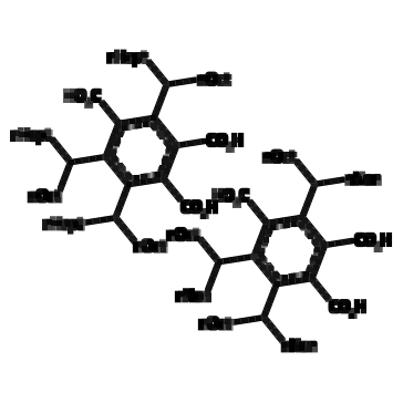 CCCCCCCCC(CCCCCCC)c1c(C(=O)O)c(C(=O)O)c(C(CCCCCCC)CCCCCCCC)c(C(CCCCCCC)CCCCCCCC)c1C(=O)O.CCCCCCCCCC(CCCCCCCC)c1c(C(=O)O)c(C(=O)O)c(C(CCCCCCCC)CCCCCCCCC)c(C(CCCCCCCC)CCCCCCCCC)c1C(=O)O